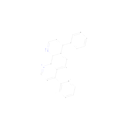 C1=NC2C(=CC=C3C(c4ccccc4)=CC=NC32)C(c2ccccc2)=C1